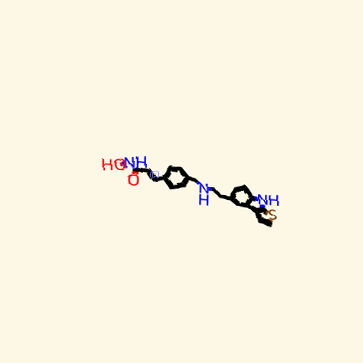 O=C(/C=C/c1ccc(CNCCc2ccc3[nH]c4sccc4c3c2)cc1)NO